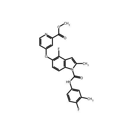 COC(=O)c1cc(Oc2ccc3c(cc(C)n3C(=O)Nc3ccc(F)c(C)c3)c2F)ccn1